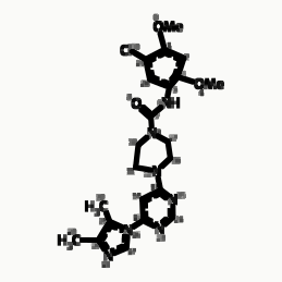 COc1cc(OC)c(NC(=O)N2CCN(c3cc(-n4cnc(C)c4C)ncn3)CC2)cc1Cl